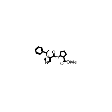 COC(=O)C1CCCC1OC(=O)c1cncn1[C@H](C)c1ccccc1